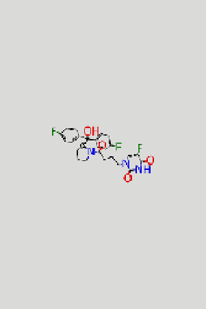 O=C(CCCn1cc(F)c(=O)[nH]c1=O)N1CCC[C@H]1C(O)(c1ccc(F)cc1)c1ccc(F)cc1